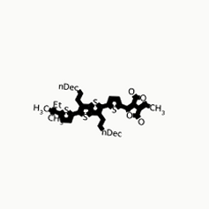 CCCCCCCCCCCCc1c(-c2ccc(C3=C4C(=O)OC(C)=C4C(=O)O3)s2)sc2c(CCCCCCCCCCCC)c(-c3ccc(C(C)(C)CC)s3)sc12